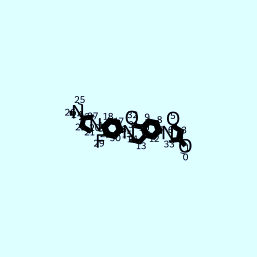 COC1=CC(=O)N(c2ccc3c(c2)CCN(c2ccc(N4CC[C@@H](N(C)C)C4)c(F)c2)C3=O)C1